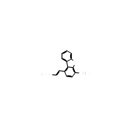 O=Cc1ccc(/C=C/C(=O)O)c2c1oc1ccccc12